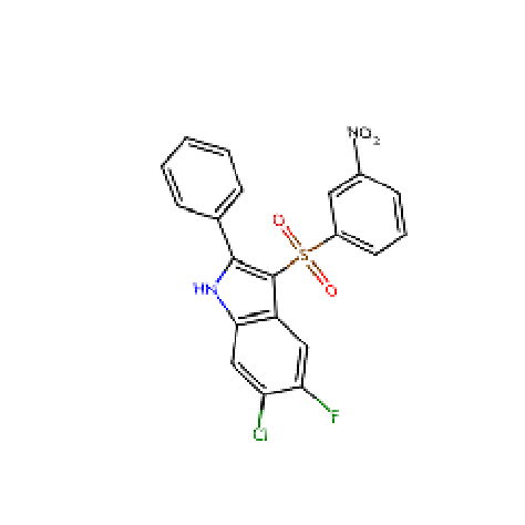 O=[N+]([O-])c1cccc(S(=O)(=O)c2c(-c3ccccc3)[nH]c3cc(Cl)c(F)cc23)c1